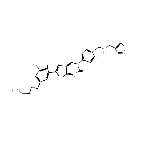 C[C@H](N)CCCc1cc(Cl)c(F)c(-c2cc3cn(-c4ccc(CNCc5c[nH]nn5)cc4)c(=O)nc3[nH]2)c1